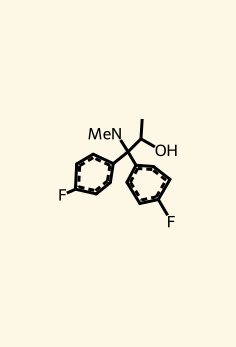 CNC(c1ccc(F)cc1)(c1ccc(F)cc1)C(C)O